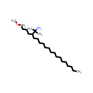 CCCCCCCCCCCCCCCCC(CCC[SiH2]OC)C(C)(C)N